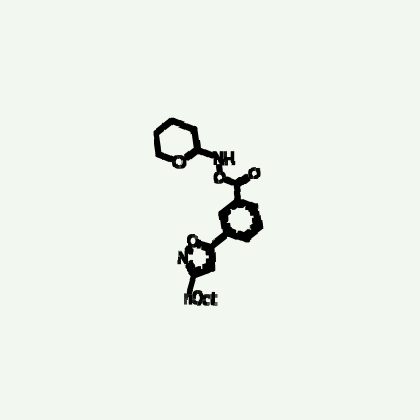 CCCCCCCCc1cc(-c2cccc(C(=O)ONC3CCCCO3)c2)on1